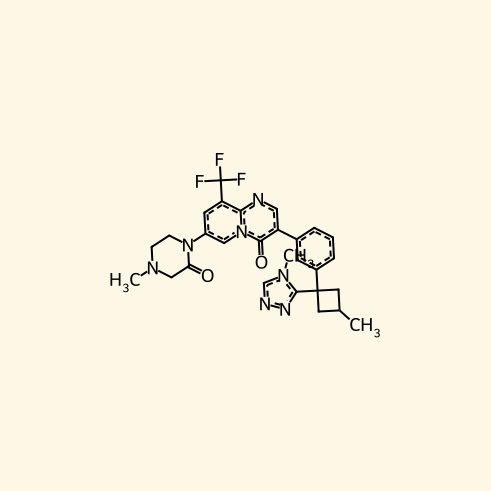 CC1CC(c2cccc(-c3cnc4c(C(F)(F)F)cc(N5CCN(C)CC5=O)cn4c3=O)c2)(c2nncn2C)C1